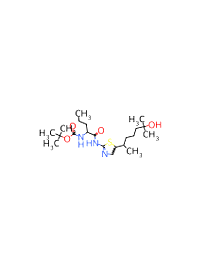 CCCC(NC(=O)OC(C)(C)C)C(=O)Nc1ncc(C(C)CCCC(C)(C)O)s1